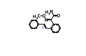 CON=C(C(N)=O)c1ccccc1/C=C/c1ccccc1